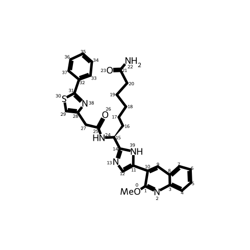 COc1nc2ccccc2cc1-c1cnc([C@H](CCCCCC(N)=O)NC(=O)Cc2csc(-c3ccccc3)n2)[nH]1